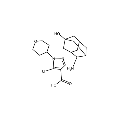 NC1C2CC3CC1CC(O)(C3)C2.O=C(O)c1cnn(C2CCOCC2)c1Cl